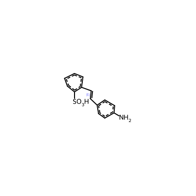 Nc1ccc(/C=C/c2ccccc2S(=O)(=O)O)cc1